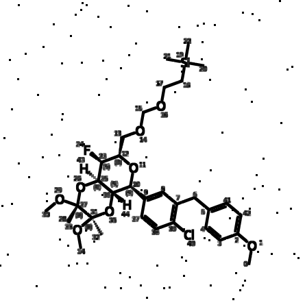 COc1ccc(Cc2cc([C@@H]3O[C@H](COCOCC[Si](C)(C)C)[C@H](F)[C@@H]4O[C@@](C)(OC)[C@](C)(OC)O[C@H]43)ccc2Cl)cc1